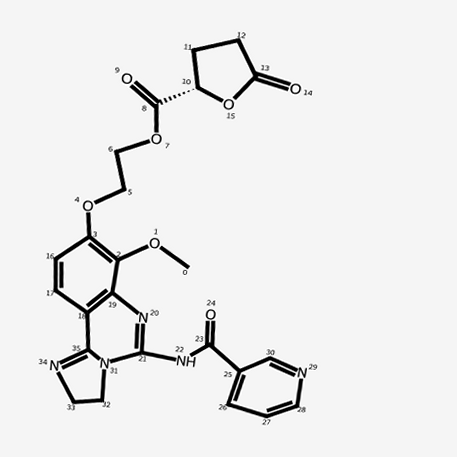 COc1c(OCCOC(=O)[C@@H]2CCC(=O)O2)ccc2c1N=C(NC(=O)c1cccnc1)N1CCN=C21